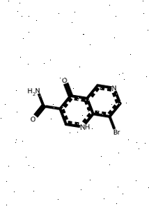 NC(=O)c1c[nH]c2c(Br)cncc2c1=O